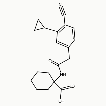 N#Cc1ccc(CC(=O)NC2(C(=O)O)CCCCC2)cc1C1CC1